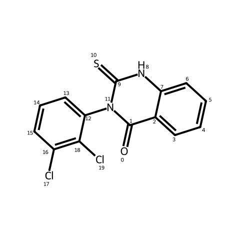 O=c1c2ccccc2[nH]c(=S)n1-c1cccc(Cl)c1Cl